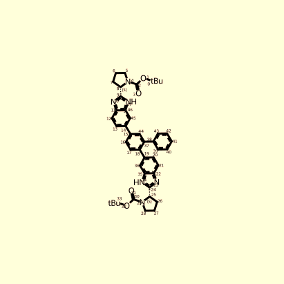 CC(C)(C)OC(=O)N1CCC[C@H]1c1nc2ccc(-c3ccc(-c4ccc5nc([C@@H]6CCCN6C(=O)OC(C)(C)C)[nH]c5c4)c(-c4ccccc4)c3)cc2[nH]1